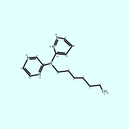 CCCCCCCN(c1cnccn1)c1cccnn1